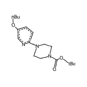 CCCCOc1ccc(N2CCN(C(=O)OC(C)(C)C)CC2)nc1